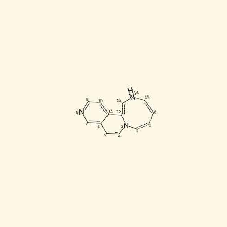 c1ccn2ccc3cnccc3c2c[nH]c1